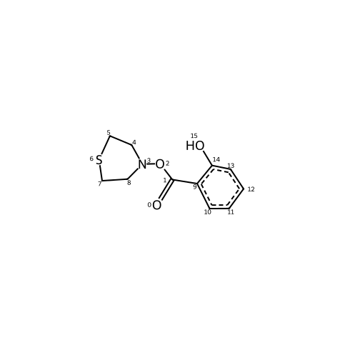 O=C(ON1CCSCC1)c1ccccc1O